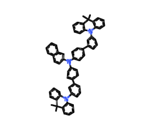 CC1(C)c2ccccc2N(c2cccc(-c3ccc(N(c4ccc(-c5cccc(N6c7ccccc7C(C)(C)c7ccccc76)c5)cc4)c4ccc5ccccc5c4)cc3)c2)c2ccccc21